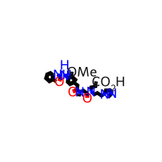 COc1cc(CC(=O)N(C)CC(=O)N(CCCn2ccnc2)CCC(=O)O)ccc1NC(=O)Nc1ccccc1C